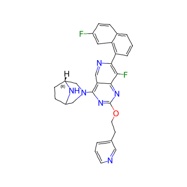 Fc1ccc2cccc(-c3ncc4c(N5CC6CC[C@H](C5)N6)nc(OCCc5cccnc5)nc4c3F)c2c1